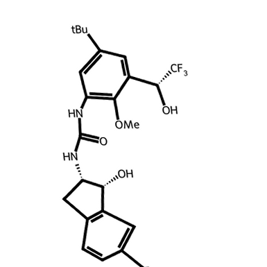 COc1c(NC(=O)N[C@H]2Cc3ccc(F)cc3[C@H]2O)cc(C(C)(C)C)cc1[C@@H](O)C(F)(F)F